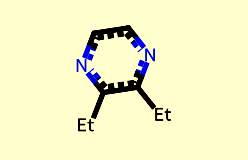 [CH2]Cc1nccnc1CC